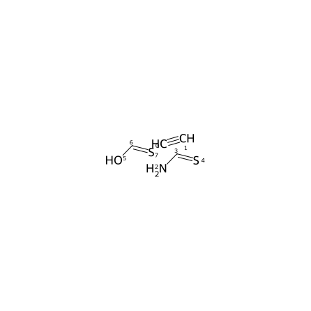 C#C.NC=S.OC=S